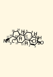 C[C@]12C=CC(=O)N[C@@H]1CC[C@@H]1[C@@H]2CC[C@]2(C)[C@@H](C#N)CC[C@@H]12